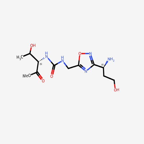 COC(=O)[C@@H](NC(=O)NCc1nc([C@@H](N)CCO)no1)C(C)O